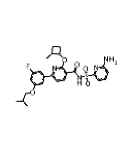 CC(C)COc1cc(F)cc(-c2ccc(C(=O)NS(=O)(=O)c3cccc(N)n3)c(OC3CCC3C)n2)c1